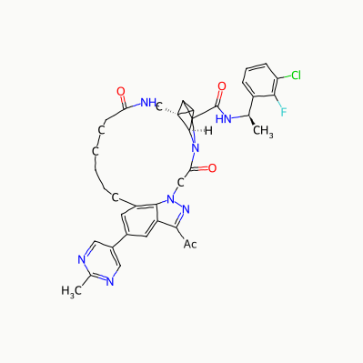 CC(=O)c1nn2c3c(cc(-c4cnc(C)nc4)cc13)CCCCCCC(=O)NC[C@@]13C4C(C(=O)N[C@H](C)c5cccc(Cl)c5F)N(C(=O)C2)[C@@H]1C43